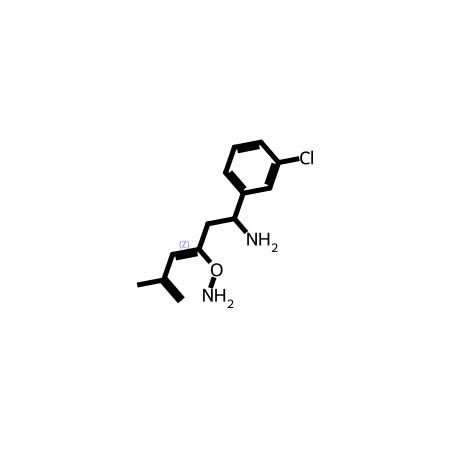 C=C(C)/C=C(/CC(N)c1cccc(Cl)c1)ON